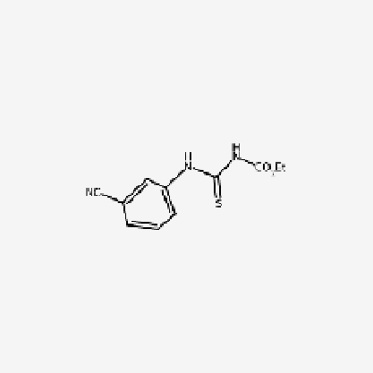 CCOC(=O)NC(=S)Nc1cccc(C#N)c1